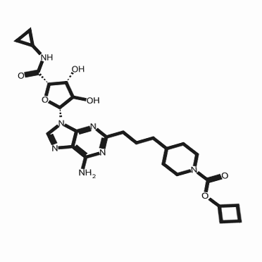 Nc1nc(CCCC2CCN(C(=O)OC3CCC3)CC2)nc2c1ncn2[C@@H]1O[C@H](C(=O)NC2CC2)[C@H](O)C1O